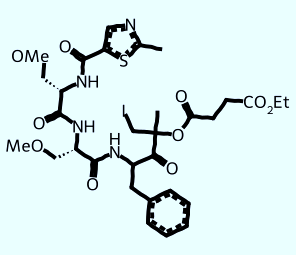 CCOC(=O)CCC(=O)OC(C)(CI)C(=O)C(Cc1ccccc1)NC(=O)[C@H](COC)NC(=O)[C@H](COC)NC(=O)c1cnc(C)s1